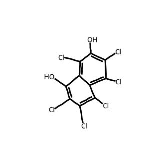 Oc1c(Cl)c(Cl)c2c(Cl)c(Cl)c(Cl)c(O)c2c1Cl